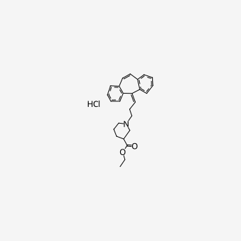 CCOC(=O)C1CCCN(CCC=C2c3ccccc3C=Cc3ccccc32)C1.Cl